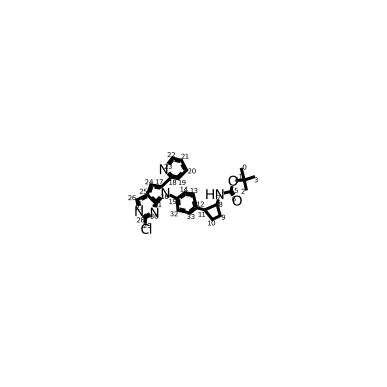 CC(C)(C)OC(=O)NC1CCC1c1ccc(-n2c(-c3ccccn3)cc3cnc(Cl)nc32)cc1